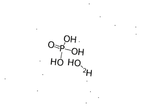 O=P(O)(O)O.[2H]O